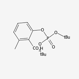 Cc1cccc(OP(=O)(OC(C)(C)C)OC(C)(C)C)c1C(=O)O